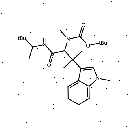 CC(NC(=O)C(N(C)C(=O)OC(C)(C)C)C(C)(C)c1cn(C)c2c1=CCCC=2)C(C)(C)C